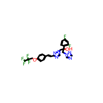 OC(Cn1cncn1)(Cn1cnc(/C=C/c2ccc(OCC(F)(F)C(F)F)cc2)n1)c1ccc(F)cc1F